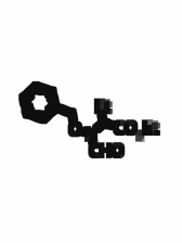 CCOC(=O)C(CC)N(C=O)OCc1ccccc1